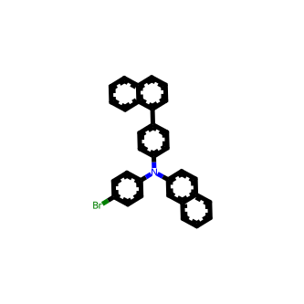 Brc1ccc(N(c2ccc(-c3cccc4ccccc34)cc2)c2ccc3ccccc3c2)cc1